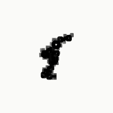 COCCOc1ccc(N(CC2CCCC2)C(=O)Nc2ncc(SCC(C)(C)C(=O)O)s2)cc1